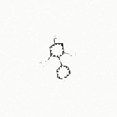 Cc1cc(C(C)(C)C)cc(C)c1-c1ccncc1